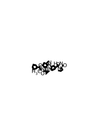 C[C@@H](NC(=O)C1(C#N)CC1)[C@H](Oc1ccc2c(cnn2-c2cccc(C(=O)N3CCC[C@@H]3C(N)=O)c2)c1)c1ccccc1